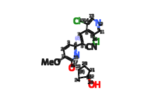 COc1ccc(/C(C#N)=C/c2c(Cl)cncc2Cl)nc1O[C@@H]1CC[C@@H](O)C1